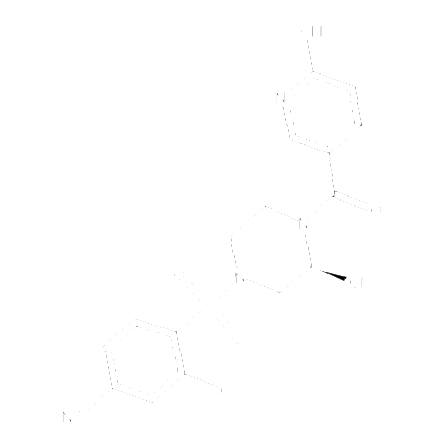 Cc1ccc(C(=O)N2CCN(S(=O)(=O)c3ccc(C#N)cc3C)C[C@@H]2C)cn1